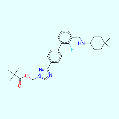 CC1(C)CCC(NCc2cccc(-c3ccc(-c4ncn(COC(=O)C(C)(C)C)n4)cc3)c2F)CC1